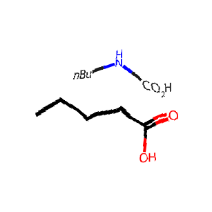 CCCCC(=O)O.CCCCNC(=O)O